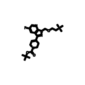 CC(C)(C)OC(=O)N1CC=C(c2nn(COCC[Si](C)(C)C)c3ncc(F)cc23)CC1